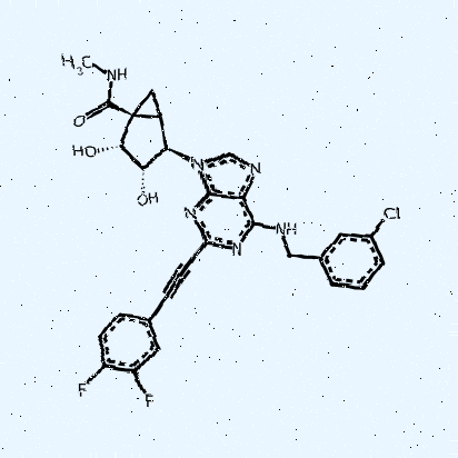 CNC(=O)[C@@]12CC1[C@@H](n1cnc3c(NCc4cccc(Cl)c4)nc(C#Cc4ccc(F)c(F)c4)nc31)[C@H](O)[C@@H]2O